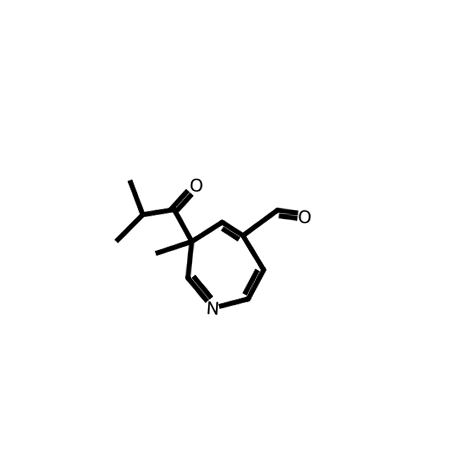 CC(C)C(=O)C1(C)C=NC=CC(C=O)=C1